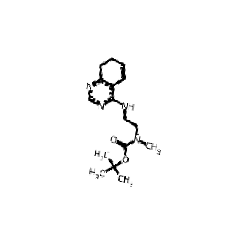 CN(CCNc1ncnc2c1C=CCC2)C(=O)OC(C)(C)C